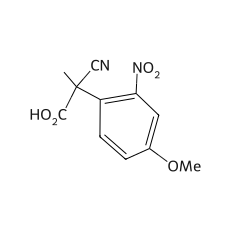 COc1ccc(C(C)(C#N)C(=O)O)c([N+](=O)[O-])c1